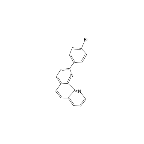 Brc1ccc(-c2ccc3ccc4cccnc4c3n2)cc1